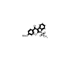 COc1ccc(C(=O)c2c(C)n(S(C)(=O)=O)c3ccccc23)cc1